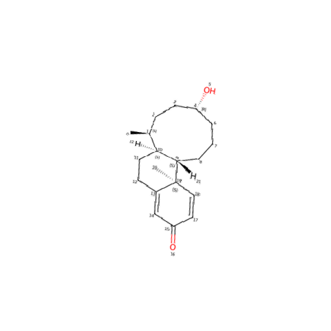 C[C@H]1CC[C@H](O)CCC[C@H]2[C@H]1CCC1=CC(=O)C=C[C@@]12C